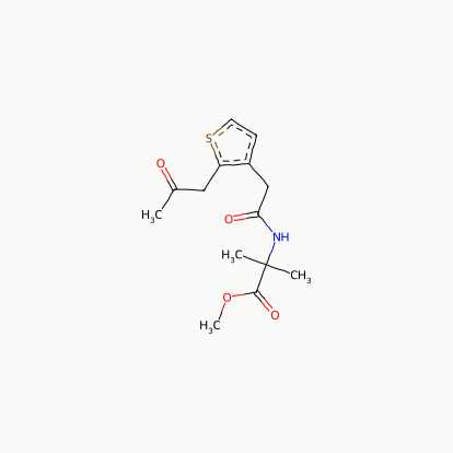 COC(=O)C(C)(C)NC(=O)Cc1ccsc1CC(C)=O